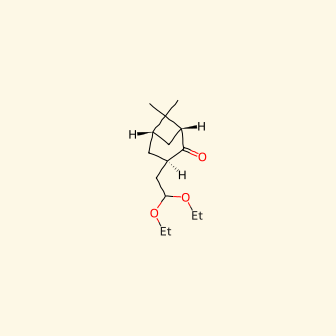 CCOC(C[C@H]1C[C@H]2C[C@@H](C1=O)C2(C)C)OCC